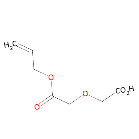 C=CCOC(=O)COCC(=O)O